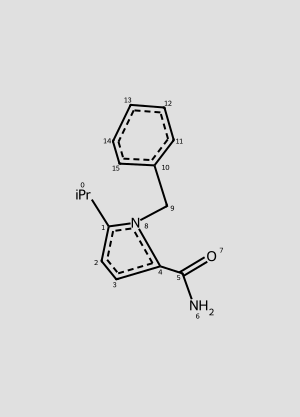 CC(C)c1ccc(C(N)=O)n1Cc1ccccc1